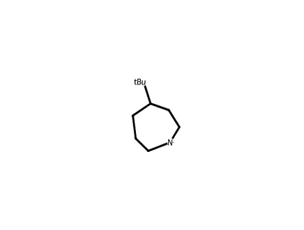 CC(C)(C)C1CCC[N]CC1